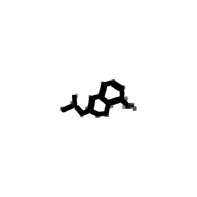 CN(C)CC1=Cc2cccc(N)c2CC1